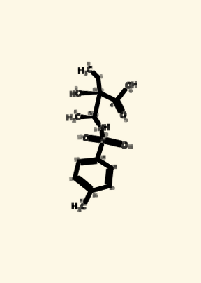 CC[C@](O)(C(=O)O)[C@H](C)NS(=O)(=O)c1ccc(C)cc1